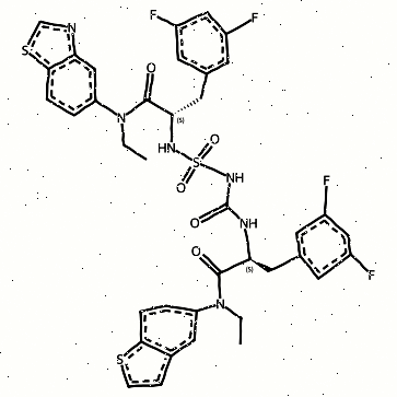 CCN(C(=O)[C@H](Cc1cc(F)cc(F)c1)NC(=O)NS(=O)(=O)N[C@@H](Cc1cc(F)cc(F)c1)C(=O)N(CC)c1ccc2scnc2c1)c1ccc2sccc2c1